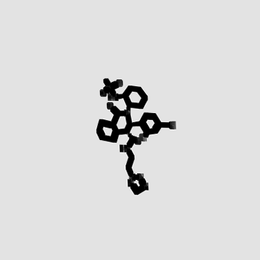 CS(=O)(=O)N[C@H]1CCCC[C@@H]1N1C(=O)c2ccccc2[C@@H](C(=O)NCCn2ncnn2)[C@@H]1c1ccc(Cl)cc1Cl